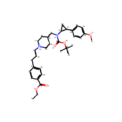 CCOC(=O)c1ccc(CCCN2CCC(CN(C(=O)OC(C)(C)C)C3CC3c3ccc(OC)cc3)CC2)cc1